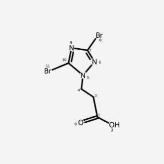 O=C(O)CCn1nc(Br)nc1Br